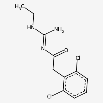 CCN/C(N)=N/C(=O)Cc1c(Cl)cccc1Cl